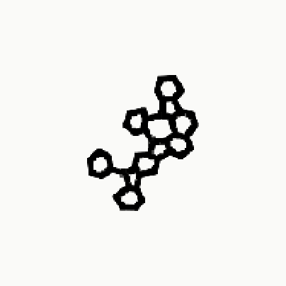 c1ccc(-n2c3ccccc3c3cc4c5ccc6ccc7c8ccccc8n8c9ccccc9n(c4cc32)c5c6c78)cc1